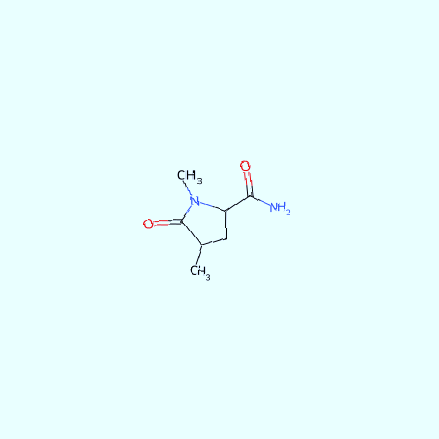 CC1CC(C(N)=O)N(C)C1=O